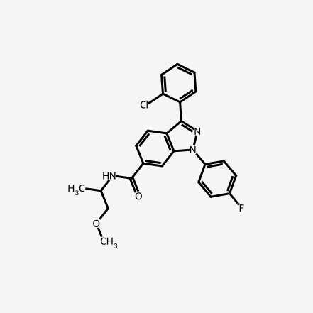 COCC(C)NC(=O)c1ccc2c(-c3ccccc3Cl)nn(-c3ccc(F)cc3)c2c1